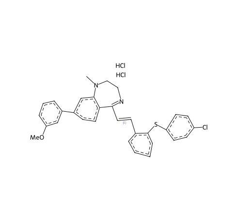 COc1cccc(-c2ccc3c(c2)N(C)CCN=C3/C=C/c2ccccc2Sc2ccc(Cl)cc2)c1.Cl.Cl